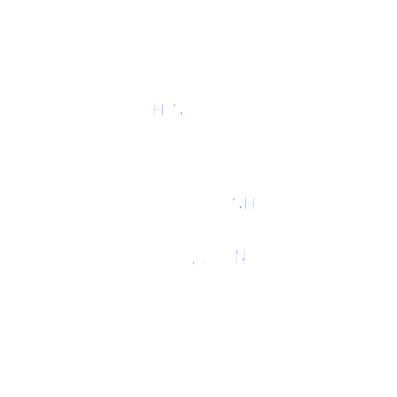 Nc1ccc2[nH]c(C(=O)N3CCCC3)c(-c3ccccc3)c2c1